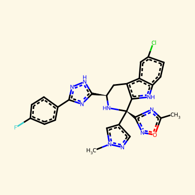 Cc1nc([C@@]2(c3cnn(C)c3)N[C@@H](c3nc(-c4ccc(F)cc4)n[nH]3)Cc3c2[nH]c2ccc(Cl)cc32)no1